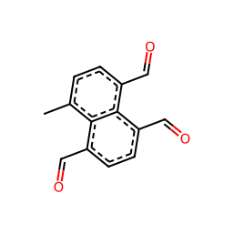 Cc1ccc(C=O)c2c(C=O)ccc(C=O)c12